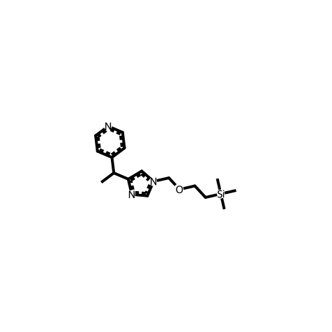 CC(c1ccncc1)c1cn(COCC[Si](C)(C)C)cn1